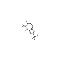 CN1C(=O)C(I)CCn2nc(C3(F)CC3)cc21